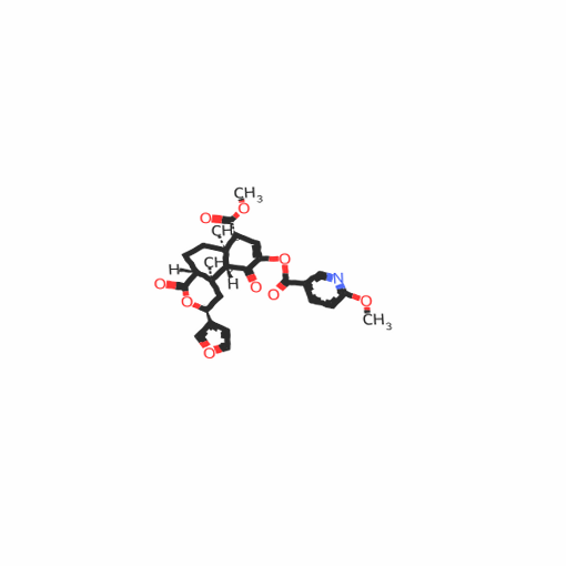 COC(=O)[C@@H]1C=C(OC(=O)c2ccc(OC)nc2)C(=O)[C@H]2[C@@]1(C)CC[C@H]1C(=O)O[C@H](c3ccoc3)C[C@]21C